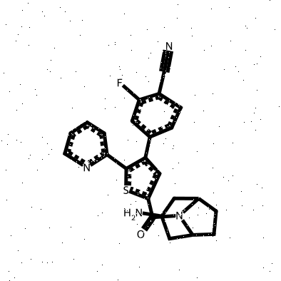 N#Cc1ccc(-c2cc(C(=O)N3C4CCC3CC(N)C4)sc2-c2ccccn2)cc1F